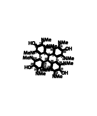 CNc1cc(C(c2cc(NC)c(O)c(NC)c2NC)C(c2cc(NC)c(O)c(NC)c2NC)c2cc(NC)c(O)c(NC)c2NC)c(NC)c(NC)c1O